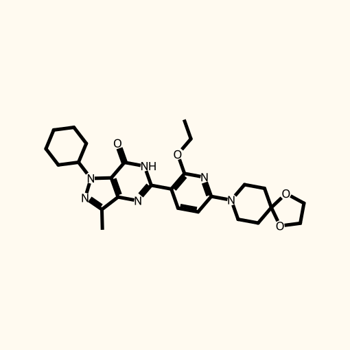 CCOc1nc(N2CCC3(CC2)OCCO3)ccc1-c1nc2c(C)nn(C3CCCCC3)c2c(=O)[nH]1